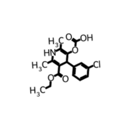 CCOC(=O)C1=C(C)NC(C)=C(OC(=O)O)C1c1cccc(Cl)c1